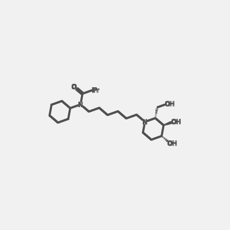 CC(C)C(=O)N(CCCCCCN1CC[C@@H](O)[C@H](O)[C@H]1CO)C1CCCCC1